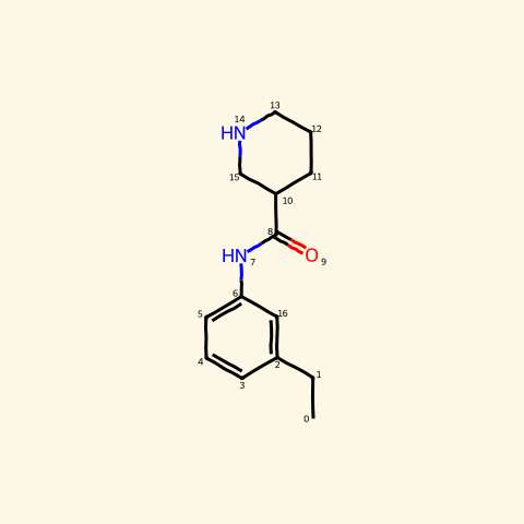 CCc1cccc(NC(=O)C2CCCNC2)c1